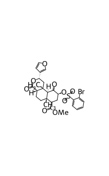 COC(=O)[C@@H]1C[C@H](OS(=O)(=O)c2ccccc2Br)C(=O)[C@@H]2[C@@]3(C)C[C@@H](c4ccoc4)OC(=O)[C@H]3CC[C@]21C